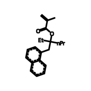 C=C(C)C(=O)OC(CC)(CCC)Cc1cccc2ccccc12